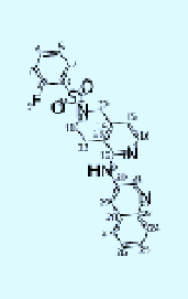 O=S(=O)(c1ccccc1F)N1CCc2c(ccnc2Nc2cnc3ccccc3c2)C1